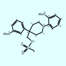 COc1cccc(C2(COS(C)(=O)=O)CCN(c3ccccc3OC)CC2)c1